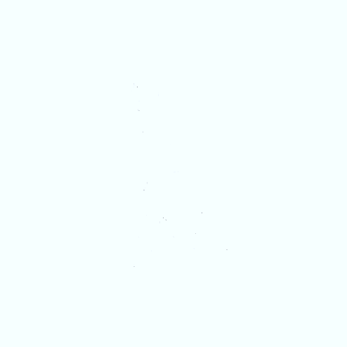 CC(C)(C)OC(=O)CN(CC(=O)OC(C)(C)C)CC(Br)CCCc1ccc([N+](=O)[O-])cc1